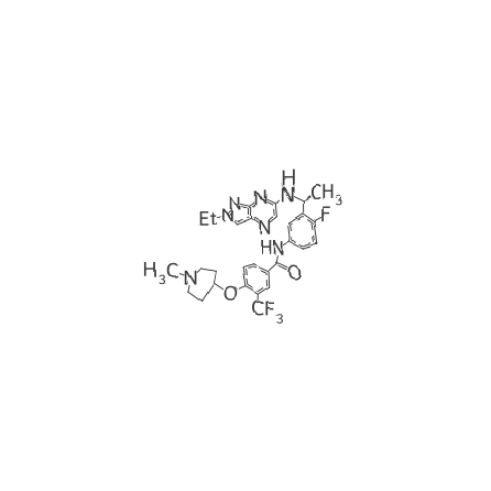 CCn1cc2ncc(N[C@@H](C)c3cc(NC(=O)c4ccc(OC5CCN(C)CC5)c(C(F)(F)F)c4)ccc3F)nc2n1